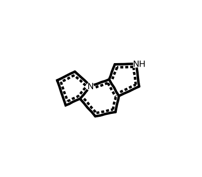 c1cc2ccc3c[nH]cc3n2c1